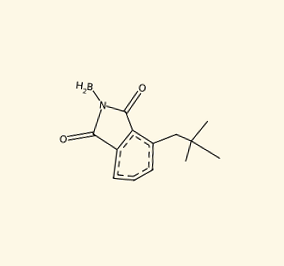 BN1C(=O)c2cccc(CC(C)(C)C)c2C1=O